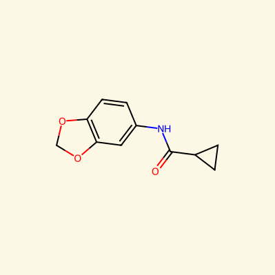 O=C(Nc1ccc2c(c1)OCO2)C1CC1